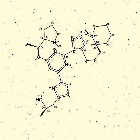 C[C@H](Oc1cc(-c2ccn(C[C@@H](C)O)n2)nc(-c2noc3c2CCC[C@@]32CCCCC2=O)n1)[C@@H]1CCCN1C